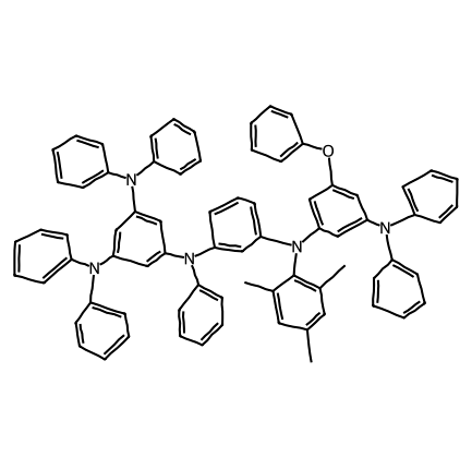 Cc1cc(C)c(N(c2cccc(N(c3ccccc3)c3cc(N(c4ccccc4)c4ccccc4)cc(N(c4ccccc4)c4ccccc4)c3)c2)c2cc(Oc3ccccc3)cc(N(c3ccccc3)c3ccccc3)c2)c(C)c1